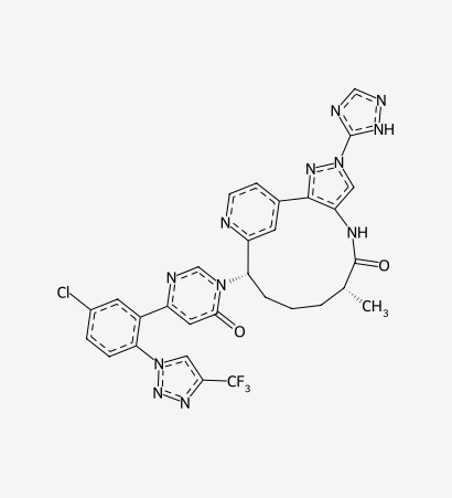 C[C@@H]1CCC[C@H](n2cnc(-c3cc(Cl)ccc3-n3cc(C(F)(F)F)nn3)cc2=O)c2cc(ccn2)-c2nn(-c3ncn[nH]3)cc2NC1=O